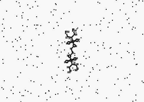 O=S(=O)(OCCOS(=O)(=O)C(CF)CF)C(CF)CF